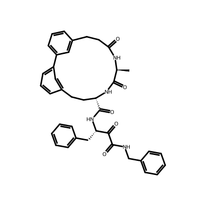 C[C@@H]1NC(=O)CCc2cccc(c2)-c2cccc(c2)CC[C@@H](C(=O)N[C@@H](Cc2ccccc2)C(=O)C(=O)NCc2ccccc2)NC1=O